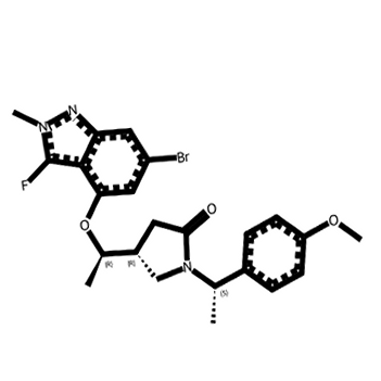 COc1ccc([C@H](C)N2C[C@H]([C@@H](C)Oc3cc(Br)cc4nn(C)c(F)c34)CC2=O)cc1